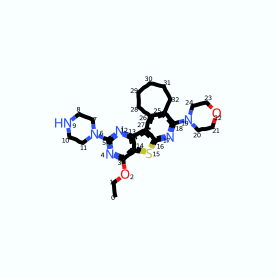 CCOc1nc(N2CCNCC2)nc2c1sc1nc(N3CCOCC3)c3c(c12)CCCCC3